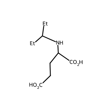 CCC(CC)NC(CCC(=O)O)C(=O)O